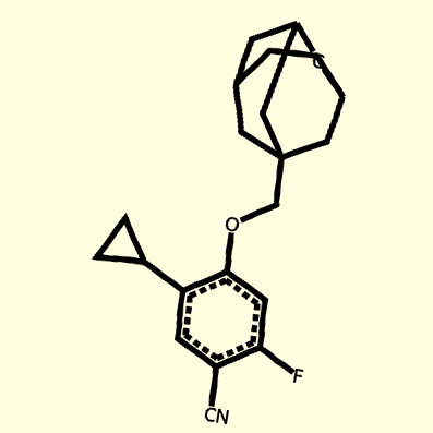 N#Cc1cc(C2CC2)c(OCC23CC4CCC(CC(C4)C2)C3)cc1F